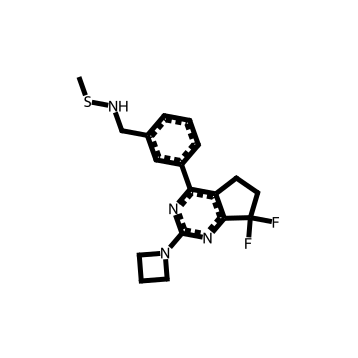 CSNCc1cccc(-c2nc(N3CCC3)nc3c2CCC3(F)F)c1